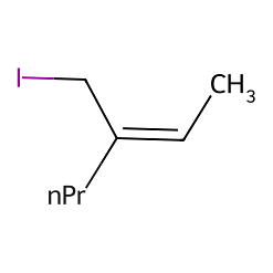 C/C=C(\CI)CCC